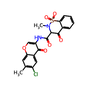 Cc1cc2occ(NC(=O)C3C(=O)c4ccccc4S(=O)(=O)N3C)c(=O)c2cc1Cl